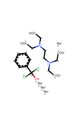 O=C([O-])CN(CCN(CC(=O)[O-])CC(=O)[O-])CC(=O)[O-].OC(Cl)(Cl)c1ccccc1.[Na+].[Na+].[Na+].[Na+]